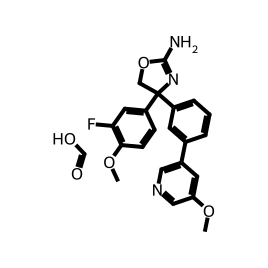 COc1cncc(-c2cccc(C3(c4ccc(OC)c(F)c4)COC(N)=N3)c2)c1.O=CO